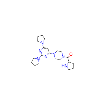 O=C(C1CCCN1)N1CCN(c2cc(N3CCCC3)nc(N3CCCC3)n2)CC1